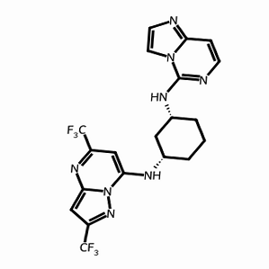 FC(F)(F)c1cc(N[C@H]2CCC[C@@H](Nc3nccc4nccn34)C2)n2nc(C(F)(F)F)cc2n1